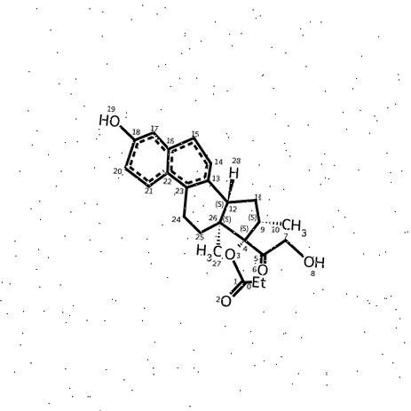 CCC(=O)O[C@@]1(C(=O)CO)[C@@H](C)C[C@H]2c3ccc4cc(O)ccc4c3CC[C@@]21C